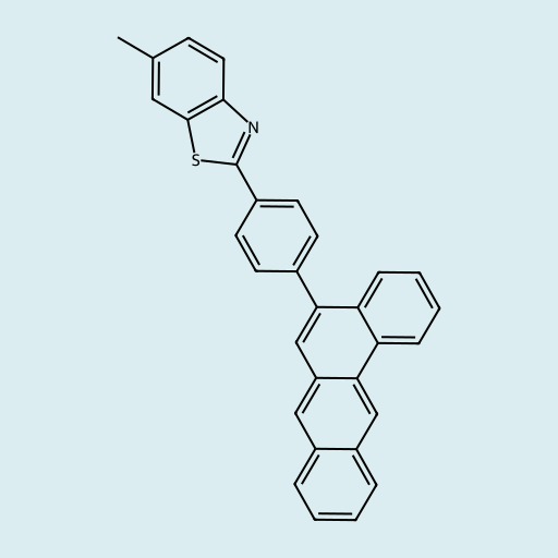 Cc1ccc2nc(-c3ccc(-c4cc5cc6ccccc6cc5c5ccccc45)cc3)sc2c1